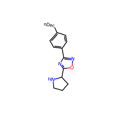 CCCCCCCCCCc1ccc(-c2noc(C3CCCN3)n2)cc1